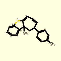 Cc1ccc(C2C=CC=C3Sc4ccccc4C3(C)C2)cc1